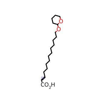 O=C(O)/C=C/CCCCCCCCCCCOC1CCCCO1